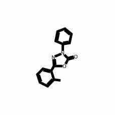 Cc1ccccc1-c1nn(-c2ccccc2)c(=O)o1